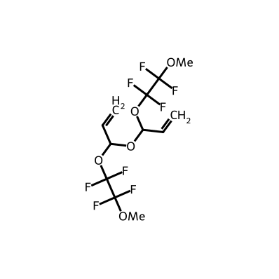 C=CC(OC(C=C)OC(F)(F)C(F)(F)OC)OC(F)(F)C(F)(F)OC